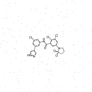 O=C(Nc1cc(Cl)cc(-c2cn[nH]c2)c1)c1cc(N2CCCS2(=O)=O)cc(Cl)c1Cl